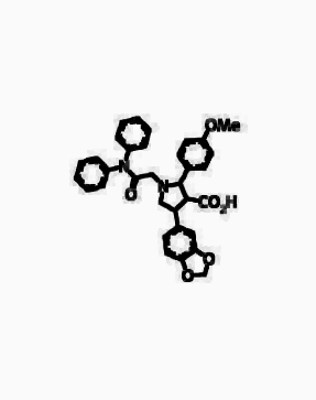 COc1ccc(C2C(C(=O)O)C(c3ccc4c(c3)OCO4)CN2CC(=O)N(c2ccccc2)c2ccccc2)cc1